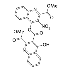 COC(=O)c1nc2ccccc2c(O)c1C(=O)Oc1c([N+](=O)[O-])c(C(=O)OC)nc2ccccc12